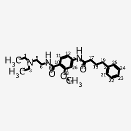 CCN(CC)CCNC(=O)c1ccc(NC(=O)CCCc2ccccc2)cc1OC